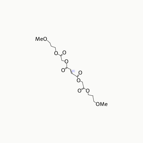 COCCCOC(=O)COC(=O)/C=C/C(=O)OCC(=O)OCCCOC